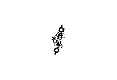 Cc1ccc(S(=O)(=O)OC2OC(C)(C)OC2OS(=O)(=O)c2ccc(C)cc2)cc1